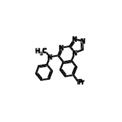 CC(C)c1ccc2c(N(C)c3ccccc3)nc3nncn3c2c1